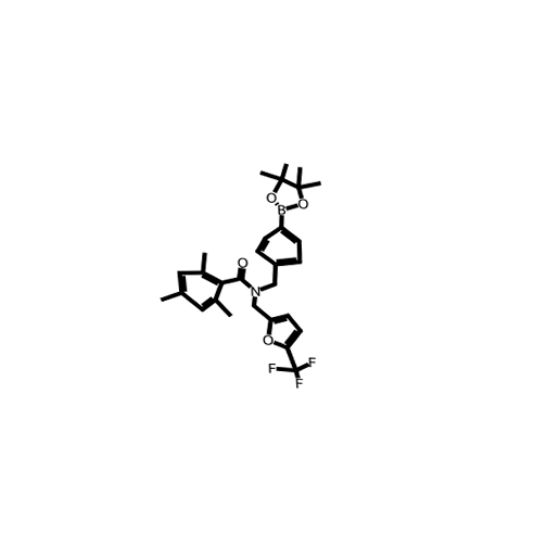 Cc1cc(C)c(C(=O)N(Cc2ccc(B3OC(C)(C)C(C)(C)O3)cc2)Cc2ccc(C(F)(F)F)o2)c(C)c1